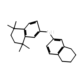 CC1(C)CCC(C)(C)c2cc(Nc3ccc4c(c3)CCCC4)ccc21